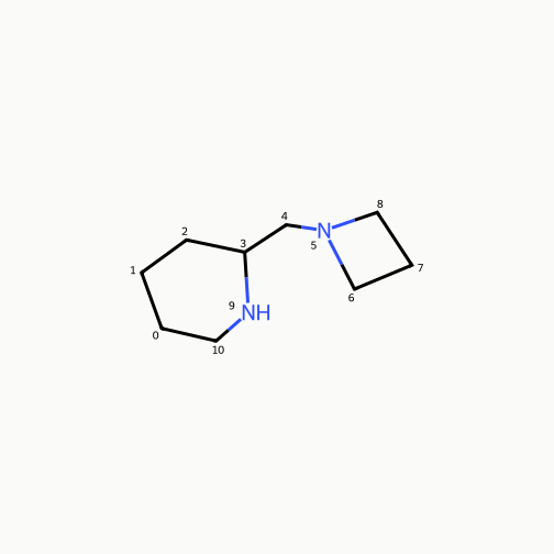 C1CCC(CN2CCC2)NC1